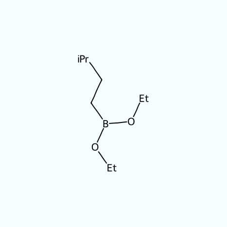 CCOB(CCC(C)C)OCC